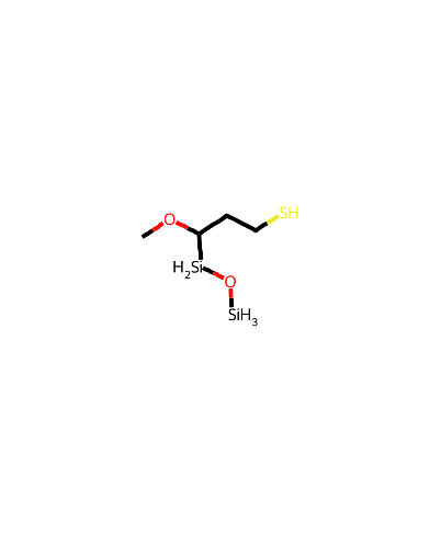 COC(CCS)[SiH2]O[SiH3]